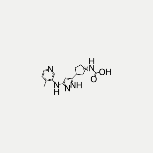 Cc1ccncc1Nc1cc(C2CC[C@H](NC(=O)O)C2)[nH]n1